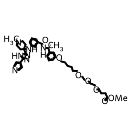 COC(=O)CCCOCCOCCOCCCCCCOc1cccc([C@@H](C)NC(=O)c2cccc(NC3(c4nnc(-c5ccncc5)[nH]4)CCN(C)CC3)c2)c1